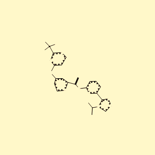 CC(C)n1cnnc1-c1cccc(NC(=O)c2cc(Oc3ccnc(C(F)(F)F)n3)ccn2)n1